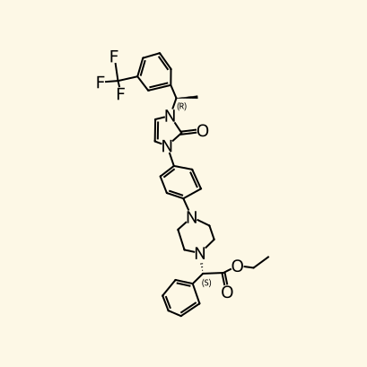 CCOC(=O)[C@H](c1ccccc1)N1CCN(c2ccc(-n3ccn([C@H](C)c4cccc(C(F)(F)F)c4)c3=O)cc2)CC1